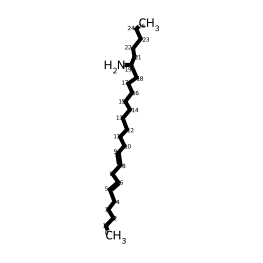 CCCCCC=CCC=CCCCCCCCCCC(N)CCCCC